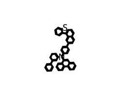 C1=C(c2ccccc2)CCC=C1N(c1ccc(-c2ccc3ccc4sc5ccccc5c4c3c2)cc1)c1cc2ccccc2c2ccccc12